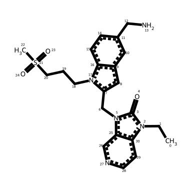 CCn1c(=O)n(Cc2cc3cc(CN)ccc3n2CCCS(C)(=O)=O)c2cnccc21